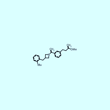 C=C(CCc1cccc(C(=C)N2CC(Cc3ccccc3C(C)(C)C)C2)c1)OC